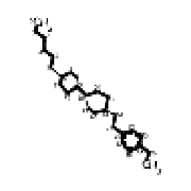 CCCCCC[C@H]1CC[C@H]([C@H]2CC[C@H](CCc3ccc(CC)cc3)CC2)CC1